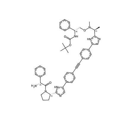 C[C@@H](c1ncc(-c2ccc(C#Cc3ccc(-c4cnc([C@@H]5CCCN5C(=O)[C@H](N)c5ccccc5)[nH]4)cc3)cc2)[nH]1)N(C)OC[C@H](NC(=O)OC(C)(C)C)c1ccccc1